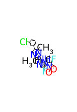 Cc1nc([C@H](C)Nc2ncc(F)c(N3C(=O)OCC3[C@H](C)F)n2)ncc1-c1cccc(Cl)c1